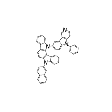 c1ccc(-n2c3ccncc3c3cc(-n4c5ccccc5c5ccc6c(c7ccccc7n6-c6ccc7ccccc7c6)c54)ccc32)cc1